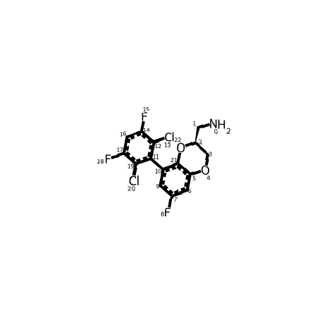 NC[C@H]1COc2cc(F)cc(-c3c(Cl)c(F)cc(F)c3Cl)c2O1